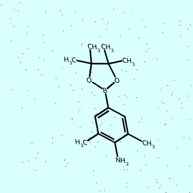 Cc1cc(B2OC(C)(C)C(C)(C)O2)cc(C)c1N